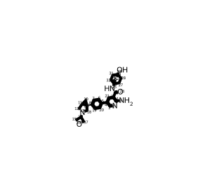 Nc1ncc(-c2ccc([C@]34CC3CN(C3COC3)C4)cc2)cc1C(=O)NC12CCC(O)(CC1)CC2